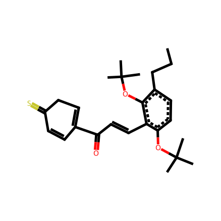 CCCc1ccc(OC(C)(C)C)c(C=CC(=O)C2=CCC(=S)C=C2)c1OC(C)(C)C